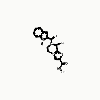 CC(C)C1c2nc(C(=O)NO)cn2CCN1C(=O)c1cc2ccccc2n1C